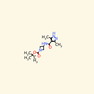 Cc1n[nH]c(C)c1C(=O)NC1CN(C(=O)OC(C)(C)C)C1